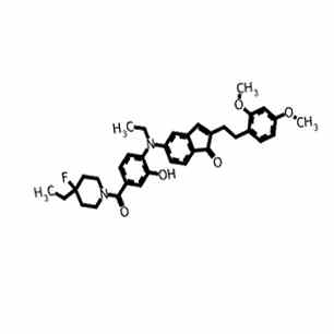 CCN(c1ccc2c(c1)C=C(CCc1ccc(OC)cc1OC)C2=O)c1ccc(C(=O)N2CCC(F)(CC)CC2)cc1O